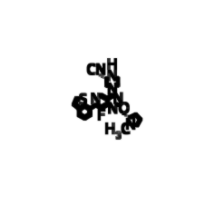 CN1CCC[C@H]1COc1nc(N2CCN[C@@H](CC#N)C2)c2cnc(-c3cccc4ccsc34)c(F)c2n1